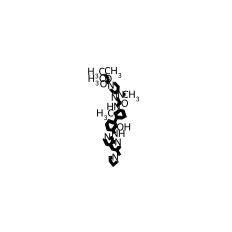 Cc1c(NC(=O)c2nc3c(n2C)CCN(C(=O)OC(C)(C)C)C3)cccc1-c1cccc(Nc2nccc3cc(CN4CCCC4)cnc23)c1O